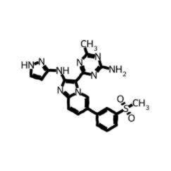 Cc1nc(N)nc(-c2c(Nc3cc[nH]n3)nc3ccc(-c4cccc(S(C)(=O)=O)c4)cn23)n1